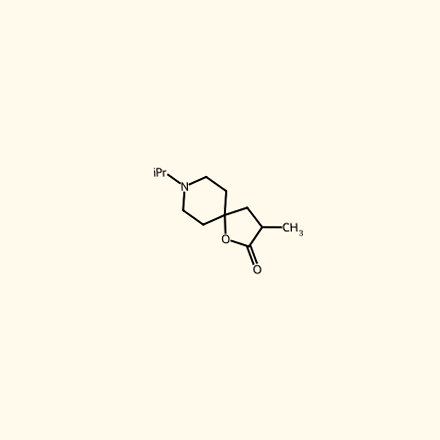 CC1CC2(CCN(C(C)C)CC2)OC1=O